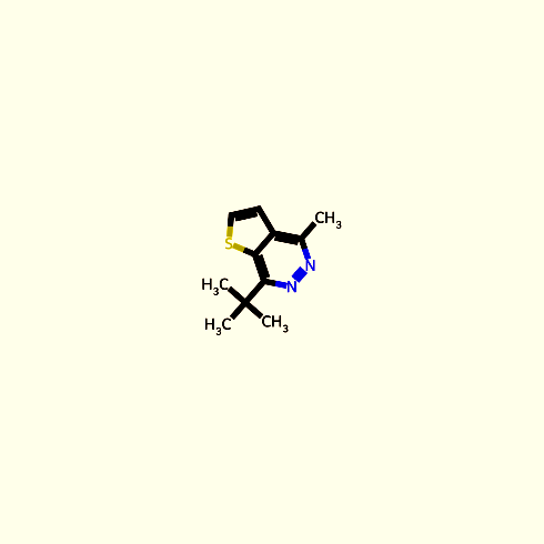 Cc1nnc(C(C)(C)C)c2sccc12